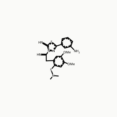 COc1cc(CC(=N)n2nc(-c3cccc(N)c3)sc2=N)c(SN(C)C)cc1OC